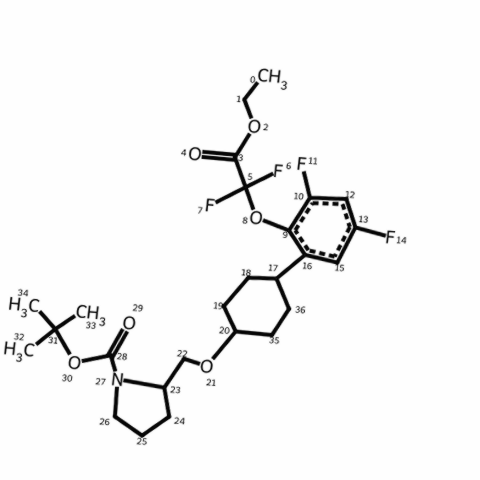 CCOC(=O)C(F)(F)Oc1c(F)cc(F)cc1C1CCC(OCC2CCCN2C(=O)OC(C)(C)C)CC1